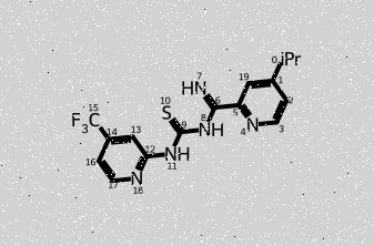 CC(C)c1ccnc(C(=N)NC(=S)Nc2cc(C(F)(F)F)ccn2)c1